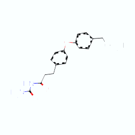 NC(=O)NC(=O)CCc1ccc(Oc2ccc(CC(=O)O)cc2)cc1